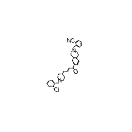 N#Cc1ccccc1CN1CCc2ccc(C(=O)CCCC3CCN(Cc4ccccc4Cl)CC3)cc2CC1